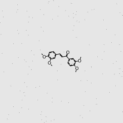 COc1ccc(/C=C/C(=O)c2ccc(OC)c(OC)c2)cc1OC